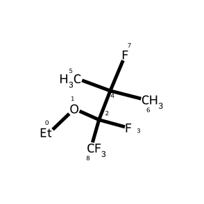 CCOC(F)(C(C)(C)F)C(F)(F)F